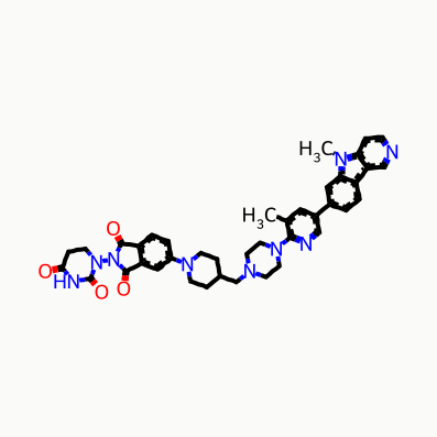 Cc1cc(-c2ccc3c4cnccc4n(C)c3c2)cnc1N1CCN(CC2CCN(c3ccc4c(c3)C(=O)N(N3CCC(=O)NC3=O)C4=O)CC2)CC1